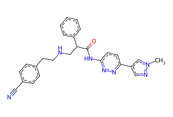 Cn1cc(-c2ccc(NC(=O)C(CNCCc3ccc(C#N)cc3)c3ccccc3)nn2)cn1